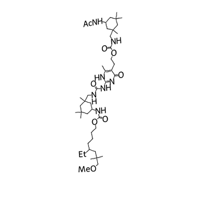 CCC(CCCCOC(=O)NC1CC(C)(C)CC(C)(CNC(=O)Nc2nc(=O)c(CCOC(=O)NCC3(C)CC(NC(C)=O)CC(C)(C)C3)c(C)[nH]2)C1)CC(C)(C)COC